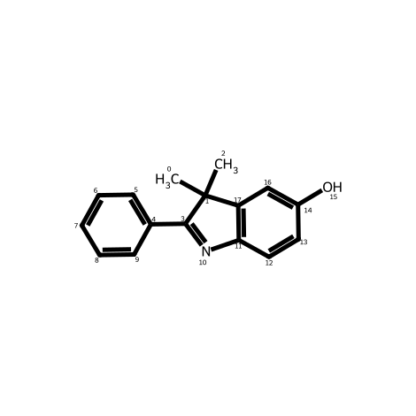 CC1(C)C(c2ccccc2)=Nc2ccc(O)cc21